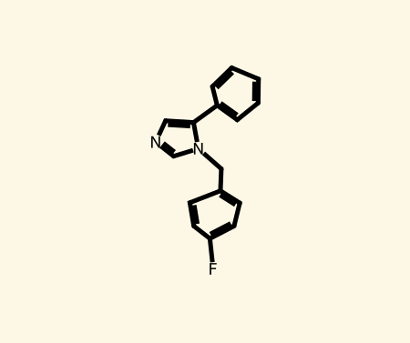 Fc1ccc(Cn2cncc2-c2ccccc2)cc1